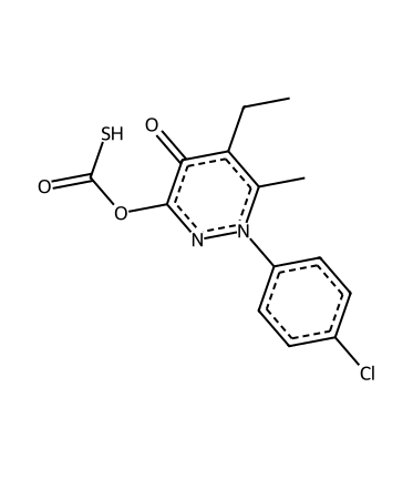 CCc1c(C)n(-c2ccc(Cl)cc2)nc(OC(=O)S)c1=O